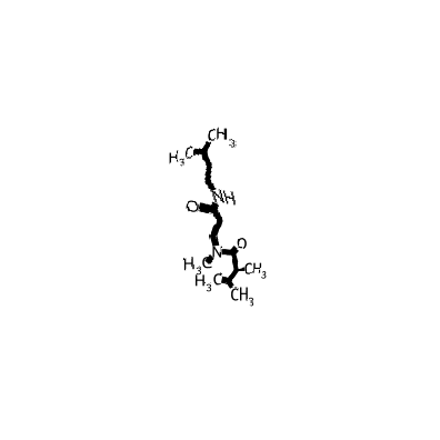 CC(C)CCNC(=O)CCN(C)C(=O)[C@@H](C)C(C)C